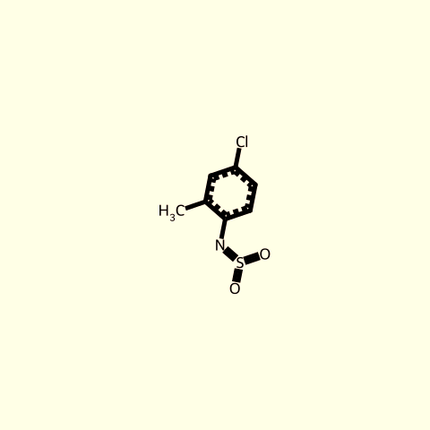 Cc1cc(Cl)ccc1N=S(=O)=O